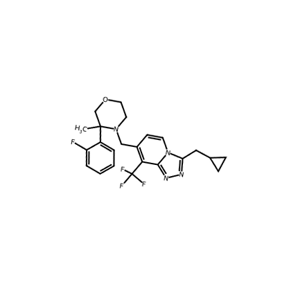 CC1(c2ccccc2F)COCCN1Cc1ccn2c(CC3CC3)nnc2c1C(F)(F)F